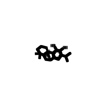 CC(C)c1cc2c(c(O)c1O)[C@@]13CCCC(C)(C)C1CC2OC3=O